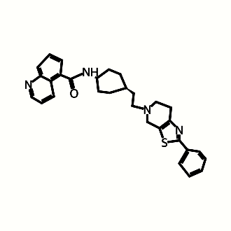 O=C(N[C@H]1CC[C@H](CCN2CCc3nc(-c4ccccc4)sc3C2)CC1)c1cccc2ncccc12